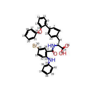 O=C(N[C@@H](Cc1ccc(-c2ccccc2Oc2ccccc2)cc1)C(=O)O)c1cc(Br)ccc1Nc1ccccc1